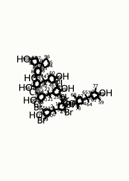 CC(C)(c1cc(Br)c(O)c(Br)c1)c1cc(Br)c(O)c(Br)c1.CC(C)(c1cc(Cl)c(O)c(Cl)c1)c1cc(Cl)c(O)c(Cl)c1.CC(C)(c1ccc(O)cc1)c1ccc(O)cc1.Cc1cc(C(C)(C)c2cc(C)c(O)c(C)c2)cc(C)c1O.Oc1ccc(C2(c3ccc(O)cc3)CCCCC2)cc1